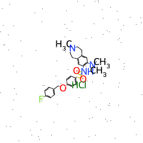 CN1CCc2cc(NS(=O)(=O)c3ccc(OCc4ccc(F)cc4)cc3)c(N(C)C)cc2CC1.Cl